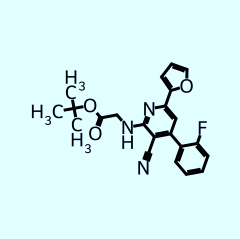 CC(C)(C)OC(=O)CNc1nc(-c2ccco2)cc(-c2ccccc2F)c1C#N